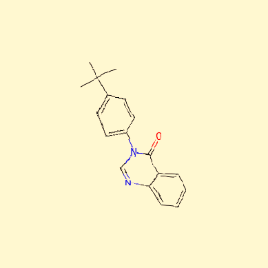 CC(C)(C)c1ccc(-n2cnc3ccccc3c2=O)cc1